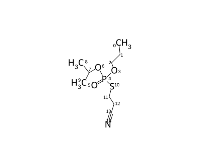 CCCOP(=O)(OC(C)C)SCCC#N